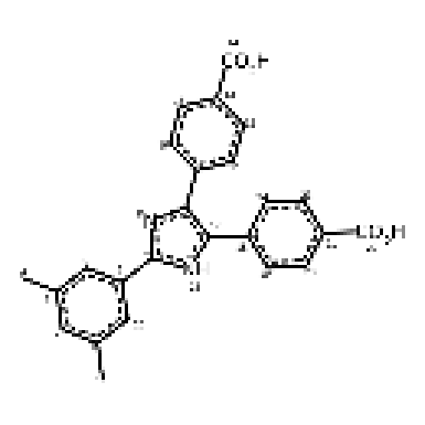 Cc1cc(C)cc(-c2nc(-c3ccc(C(=O)O)cc3)c(-c3ccc(C(=O)O)cc3)[nH]2)c1